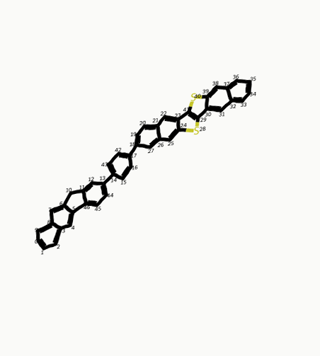 c1ccc2cc3c(cc2c1)Cc1cc(-c2ccc(-c4ccc5cc6c(cc5c4)sc4c5cc7ccccc7cc5sc64)cc2)ccc1-3